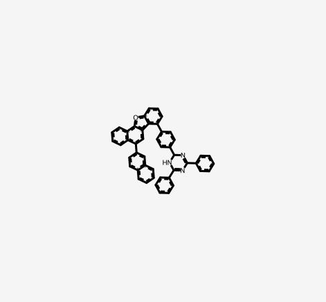 c1ccc(C2=NC(c3ccc(-c4cccc5oc6c7ccccc7c(-c7ccc8ccccc8c7)cc6c45)cc3)NC(c3ccccc3)=N2)cc1